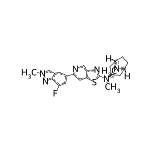 CN(c1nc2cnc(-c3cc(F)c4nn(C)cc4c3)cc2s1)[C@@H]1C[C@H]2CC[C@@H](C1)N2C